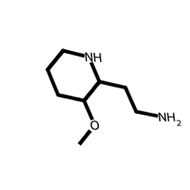 COC1CCCNC1CCN